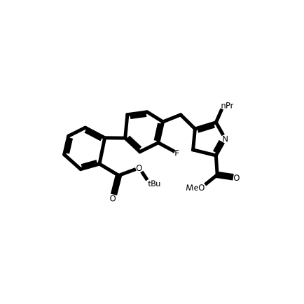 CCCC1=C(Cc2ccc(-c3ccccc3C(=O)OC(C)(C)C)cc2F)CC(C(=O)OC)=N1